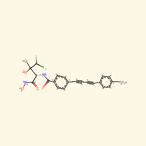 CC(O)(C(F)F)[C@H](NC(=O)c1ccc(C#CC#Cc2ccc(C(=O)O)cc2)cc1)C(=O)NO